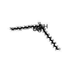 CCCCCCCCCCCCCCCC(=O)N[C@@H](C)[C@H](O)C[C@@H](O)CCCCCCCCCCCCC